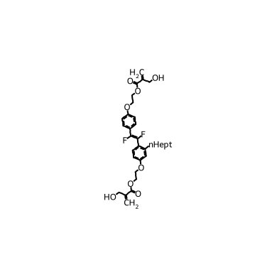 C=C(CO)C(=O)OCCOc1ccc(/C(F)=C(\F)c2ccc(OCCOC(=O)C(=C)CO)cc2CCCCCCC)cc1